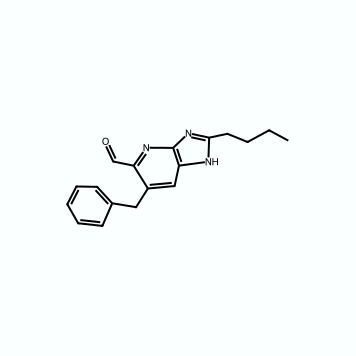 CCCCc1nc2nc(C=O)c(Cc3ccccc3)cc2[nH]1